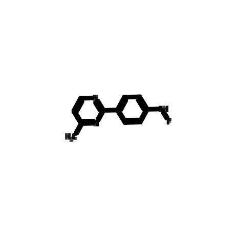 Cc1ccnc(-c2ccc(NF)cc2)n1